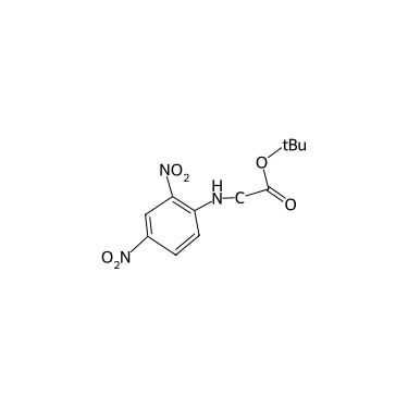 CC(C)(C)OC(=O)CNc1ccc([N+](=O)[O-])cc1[N+](=O)[O-]